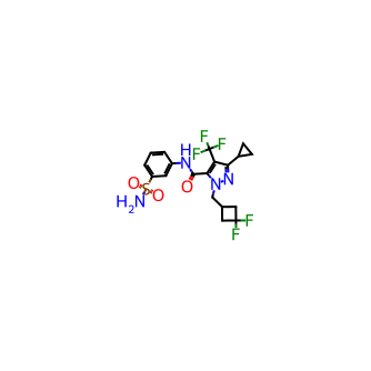 NS(=O)(=O)c1cccc(NC(=O)c2c(C(F)(F)F)c(C3CC3)nn2CC2CC(F)(F)C2)c1